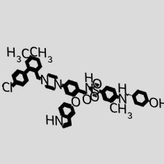 Cc1cc(S(=O)(=O)NC(=O)c2ccc(N3CCN(CC4=C(c5ccc(Cl)cc5)CC(C)(C)CC4)CC3)cc2Oc2ccc3[nH]ccc3c2)ccc1NC[C@H]1CC[C@@H](O)CC1